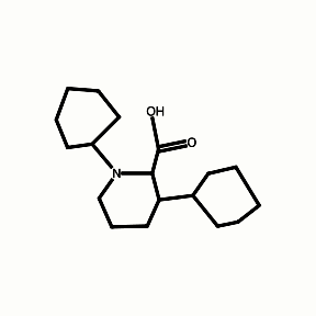 O=C(O)C1C(C2CCCCC2)CCCN1C1CCCCC1